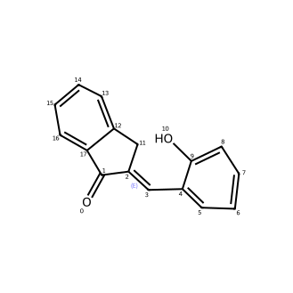 O=C1/C(=C/c2ccccc2O)Cc2ccccc21